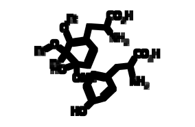 CCOC1=C(CC(N)C(=O)O)C=CC(O)(OC)C1(CC)OCC.NC(Cc1ccc(O)cc1)C(=O)O